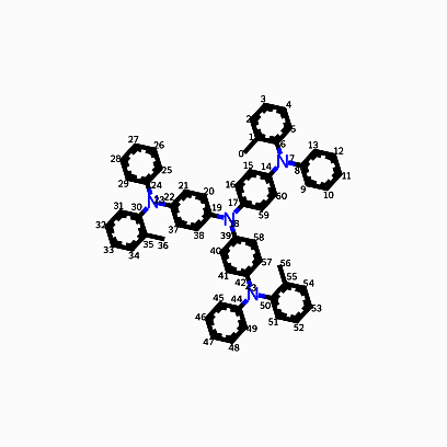 Cc1ccccc1N(c1ccccc1)c1ccc(N(c2ccc(N(c3ccccc3)c3ccccc3C)cc2)c2ccc(N(c3ccccc3)c3ccccc3C)cc2)cc1